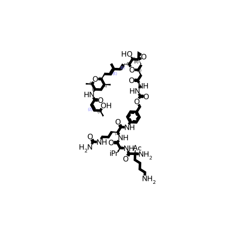 CC(=O)[C@](N)(CCCCN)C(=O)N[C@H](C(=O)N[C@@H](CCCNC(N)=O)C(=O)Nc1ccc(COC(=O)NNC(=O)C[C@@H]2C[C@@]3(CO3)[C@H](O)[C@@H](/C=C/C(C)=C/C[C@@H]3O[C@H](C)[C@H](NC(=O)/C=C\[C@H](C)O)C[C@@H]3C)O2)cc1)C(C)C